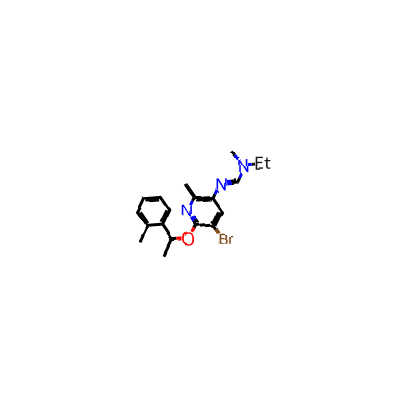 CCN(C)/C=N/c1cc(Br)c(OC(C)c2ccccc2C)nc1C